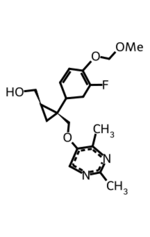 COCOC1=C(F)CC([C@]2(COc3cnc(C)nc3C)C[C@H]2CO)C=C1